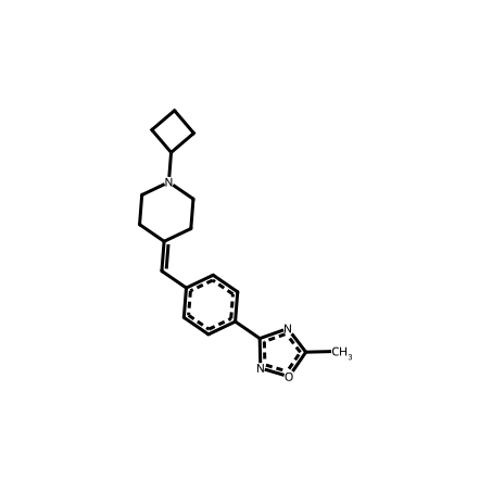 Cc1nc(-c2ccc(C=C3CCN(C4CCC4)CC3)cc2)no1